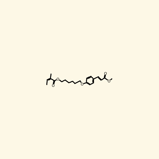 C/C=C(/C)C(=O)OCCCCCCOc1ccc(/C=C/C(=O)OC)cc1